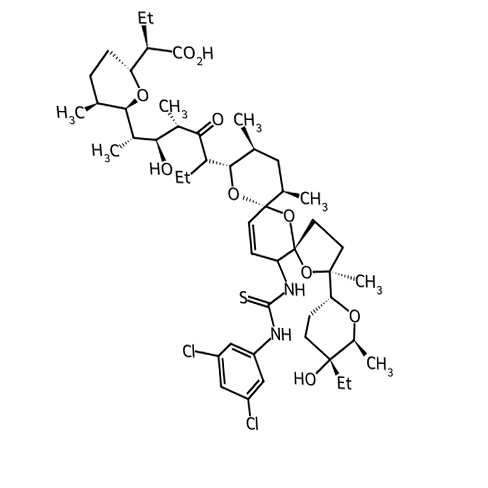 CCC(C(=O)[C@@H](C)[C@@H](O)[C@H](C)[C@@H]1O[C@@H]([C@@H](CC)C(=O)O)CC[C@@H]1C)[C@H]1O[C@]2(C=CC(NC(=S)Nc3cc(Cl)cc(Cl)c3)[C@]3(CC[C@@](C)([C@H]4CC[C@](O)(CC)[C@H](C)O4)O3)O2)[C@H](C)C[C@@H]1C